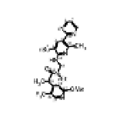 CCCCc1cc(-c2ncccn2)c(C)nc1NCN(CC)C(=O)[C@H](C)c1cc(OC)ncc1C(F)(F)F